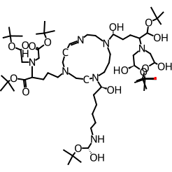 CC(C)(C)OC(=O)CN(CC(O)OC(C)(C)C)C(CCCN1CC/C=N/CCN([C@H](O)CCC(C(O)OC(C)(C)C)N(CC(O)OC(C)(C)C)C[C@H](O)OC(C)(C)C)CCCN([C@@H](O)CCCCCN[C@H](O)OC(C)(C)C)CC1)C(=O)OC(C)(C)C